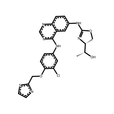 C[C@@H](O)[C@H]1COC(Nc2ccc3ncnc(Nc4ccc(OCc5nccs5)c(Cl)c4)c3c2)=N1